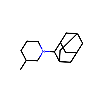 CC1CCCN(C2[C]3CC4CC(C3)CC2C4)C1